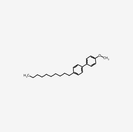 CCCCCCCCCCc1ccc(-c2ccc(OC)cc2)cc1